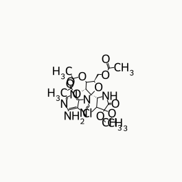 COC1(OC)C(=O)NC([C@@]2(n3cnc4c(N)ncnc43)O[C@H](COC(C)=O)[C@@H](OC(C)=O)[C@H]2OC(C)=O)C1Cl